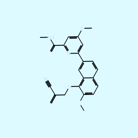 C=C(C#N)CNc1c(OC)ccc2ccc(-c3cc(NC)cc(C(=O)NC)n3)cc12